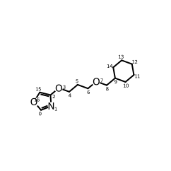 c1nc(OCCCOCC2CCCCC2)co1